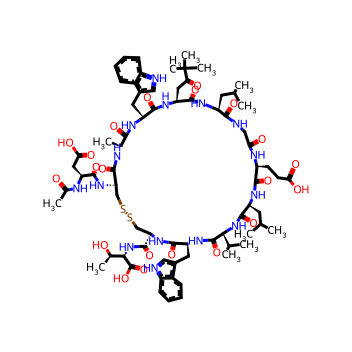 CC(=O)N[C@@H](CC(=O)O)C(=O)N[C@H]1CSSC[C@@H](C(=O)N[C@H](C(=O)O)[C@@H](C)O)NC(=O)[C@H](Cc2c[nH]c3ccccc23)NC(=O)[C@H](C(C)C)NC(=O)[C@H](CC(C)C)NC(=O)[C@H](CCC(=O)O)NC(=O)CNC(=O)[C@H](CC(C)C)NC(=O)[C@H](CC(=O)C(C)(C)C)NC(=O)[C@H](Cc2c[nH]c3ccccc23)NC(=O)[C@H](C)NC1=O